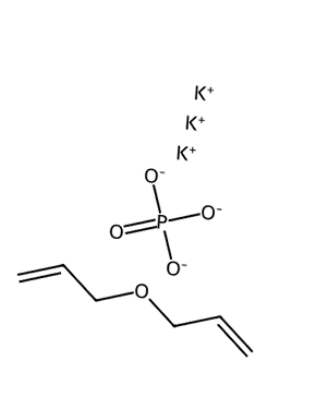 C=CCOCC=C.O=P([O-])([O-])[O-].[K+].[K+].[K+]